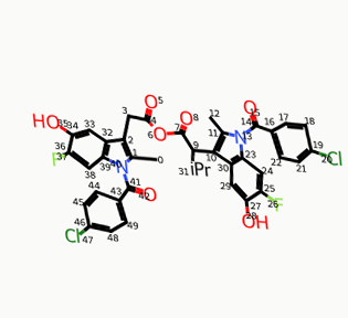 Cc1c(CC(=O)OC(=O)C(c2c(C)n(C(=O)c3ccc(Cl)cc3)c3cc(F)c(O)cc23)C(C)C)c2cc(O)c(F)cc2n1C(=O)c1ccc(Cl)cc1